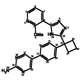 COc1ncccc1-c1nnc(C2(c3ccc(-c4cnc(N)nc4)cc3)CCC2)[nH]1